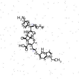 CCN1C=CN2NC(S/C=C/C3=C(C(=O)O)N4C(=O)[C@@H](NC(=O)/C(=N\OCF)c5nsc(N)n5)[C@@H]4SC3)=CC=C12